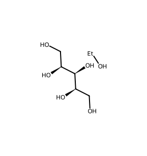 CCO.OC[C@@H](O)[C@H](O)[C@@H](O)CO